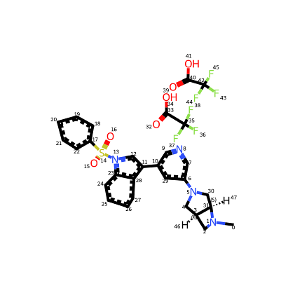 CN1C[C@H]2CN(c3cncc(-c4cn(S(=O)(=O)c5ccccc5)c5ccccc45)c3)C[C@H]21.O=C(O)C(F)(F)F.O=C(O)C(F)(F)F